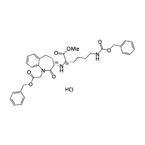 COC(=O)[C@H](CCCCNC(=O)OCc1ccccc1)N[C@H]1CCc2ccccc2N(CC(=O)OCc2ccccc2)C1=O.Cl